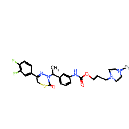 CC(c1cccc(NC(=O)OCCCN2CCN(C)CC2)c1)N1N=C(c2ccc(F)c(F)c2)CSC1=O